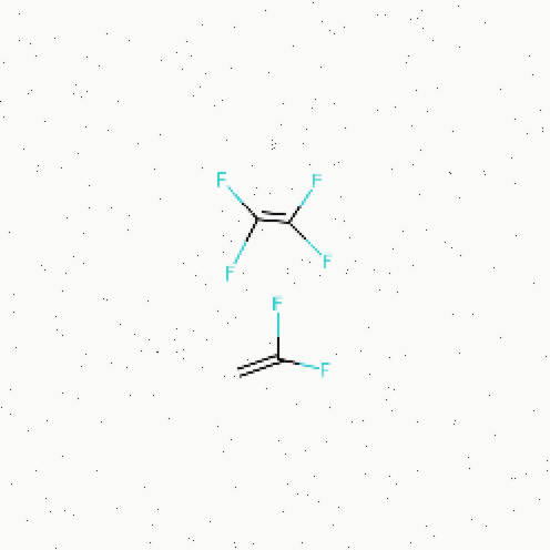 C=C(F)F.FC(F)=C(F)F